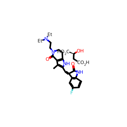 CCN(CC)CCN1CCc2[nH]c(/C=C3\C(=O)Nc4ccc(F)cc43)c(C)c2C1=O.O=C(O)C[C@H](O)C(=O)O